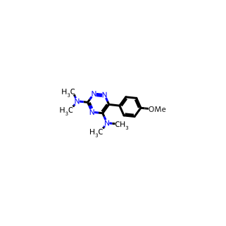 COc1ccc(-c2nnc(N(C)C)nc2N(C)C)cc1